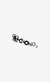 Cn1nc(C2CCN(c3ccc([N+](=O)[O-])cc3)CC2)oc1=O